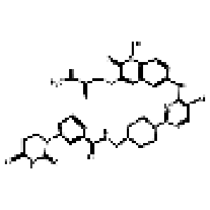 CNC(=O)COc1cc2cc(Nc3nc(N4CCC(CNC(=O)c5cccc([C@@H]6CCC(=O)NC6=O)c5)CC4)ncc3Cl)ccc2n(C)c1=O